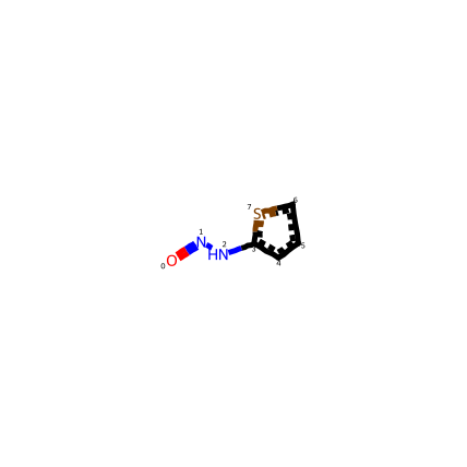 O=NNc1cccs1